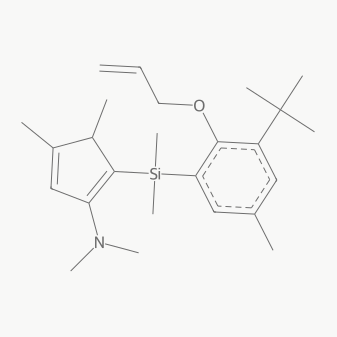 C=CCOc1c(C(C)(C)C)cc(C)cc1[Si](C)(C)C1=C(N(C)C)C=C(C)C1C